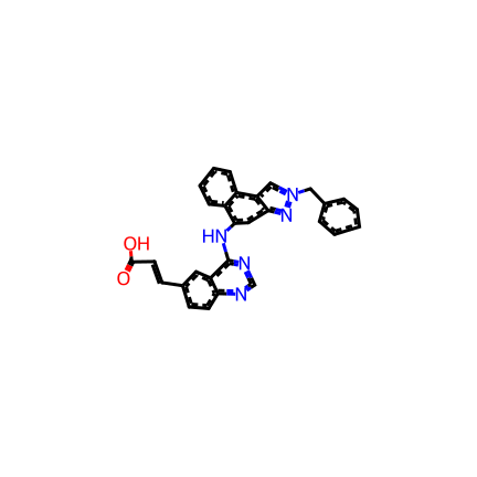 O=C(O)C=Cc1ccc2ncnc(Nc3cc4nn(Cc5ccccc5)cc4c4ccccc34)c2c1